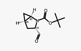 CC(C)(C)OC(=O)N1[C@H](C=O)C[C@H]2C[C@H]21